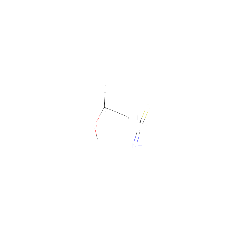 CCOC(C)CC.N=C=S